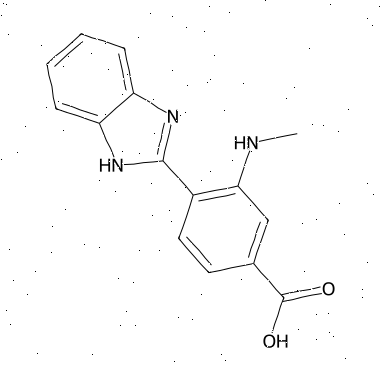 CNc1cc(C(=O)O)ccc1-c1nc2ccccc2[nH]1